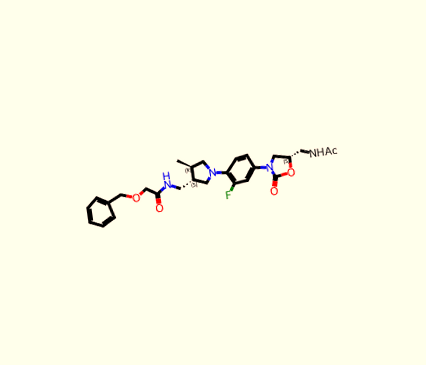 CC(=O)NC[C@H]1CN(c2ccc(N3C[C@H](CNC(=O)COCc4ccccc4)[C@@H](C)C3)c(F)c2)C(=O)O1